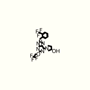 O[C@H]1CCN(c2nc(OCC(F)(F)F)nc3nn(Cc4ccccc4C(F)(F)F)nc23)C1